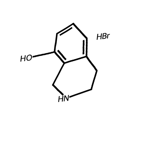 Br.Oc1cccc2c1CNCC2